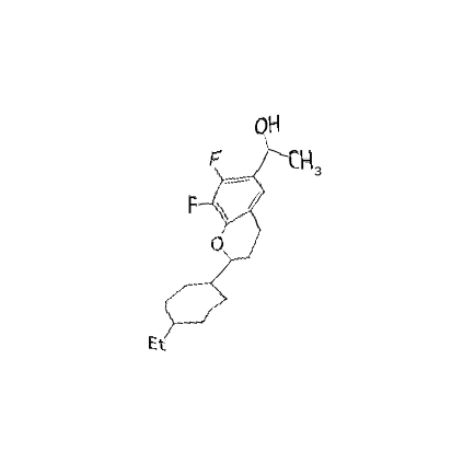 CCC1CCC(C2CCc3cc(C(C)O)c(F)c(F)c3O2)CC1